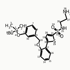 CC(C)(C)[Si](C)(C)Oc1cccc(COc2ccccc2-c2ccc(S(=O)(=O)NCCN)s2)c1